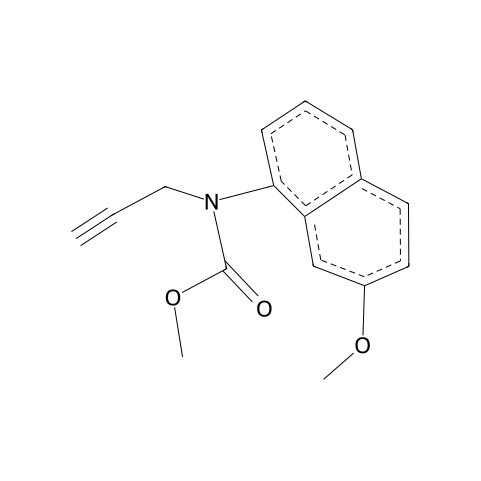 C#CCN(C(=O)OC)c1cccc2ccc(OC)cc12